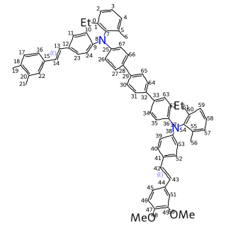 CCc1cccc(C)c1N(c1ccc(/C=C/c2ccc(C)c(C)c2)cc1)c1ccc(-c2ccc(-c3ccc(N(c4ccc(/C=C/c5ccc(OC)c(OC)c5)cc4)c4c(C)cccc4CC)cc3)cc2)cc1